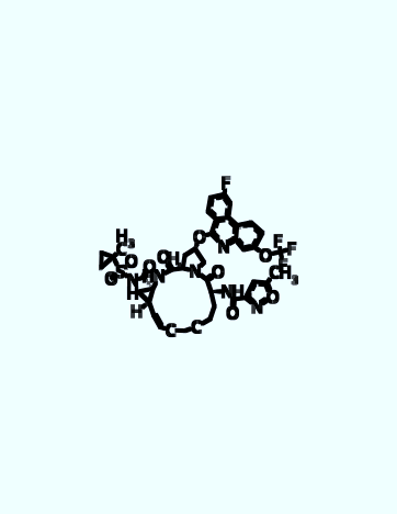 Cc1cc(C(=O)N[C@H]2CCCCC/C=C\[C@@H]3C[C@@]3(C(=O)NS(=O)(=O)C3(C)CC3)NC(=O)[C@@H]3C[C@@H](Oc4nc5cc(OC(F)(F)F)ccc5c5cc(F)ccc45)CN3C2=O)no1